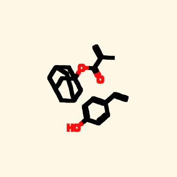 C=C(C)C(=O)OC12CC3CC(CC(C3)C1)C2.C=Cc1ccc(O)cc1